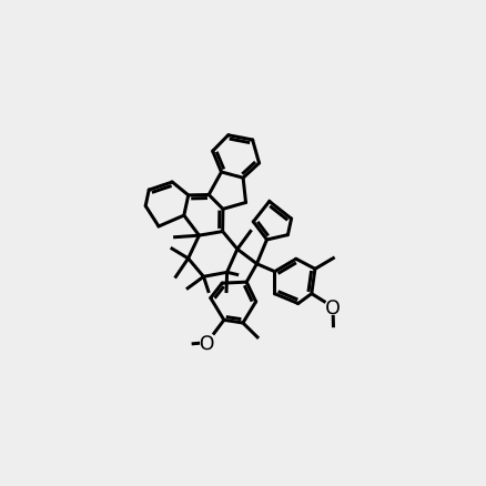 COc1ccc(C(C2=CC=CC2)(c2ccc(OC)c(C)c2)C2(C)C3=C4Cc5ccccc5C4=C4C=CCCC4C3(C)C(C)(C)C(C)(C)C2(C)C)cc1C